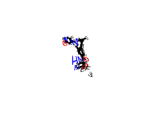 CC1CN(C2CCN(C)C(=O)C2)Cc2cc(C(=O)Nc3cncc(OC(F)(F)F)c3)ccc21